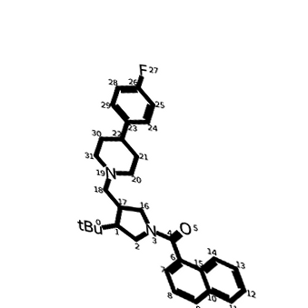 CC(C)(C)C1CN(C(=O)c2cccc3ccccc23)CC1CN1CCC(c2ccc(F)cc2)CC1